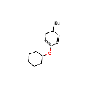 CCC(C)C1C=CC(OC2CCCCC2)=CC1